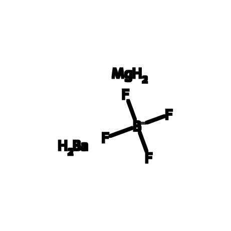 F[B-](F)(F)F.[BaH2].[MgH2]